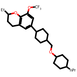 CCCC1CCC(OCC2CCC(c3cc4c(c(OC(F)(F)F)c3)OC(CC)CC4)CC2)CC1